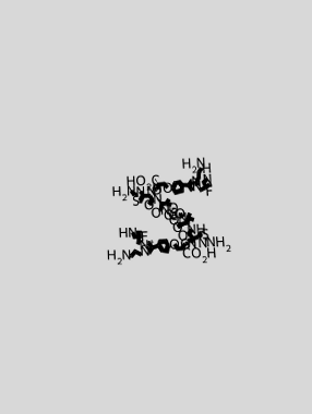 CC1(C)[C@H](NC(=O)/C(=N\O[C@@H](COc2ccc(-c3cn(CCCN)[n+](CC4(F)CNC4)c3)cc2)C(=O)O)c2csc(N)n2)C(=O)N1OS(=O)(=O)ON1C(=O)[C@@H](NC(=O)/C(=N\O[C@@H](COc2ccc(-c3cn(CCCN)[n+](CC4(F)CNC4)c3)cc2)C(=O)O)c2csc(N)n2)C1(C)C